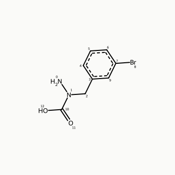 NN(Cc1cccc(Br)c1)C(=O)O